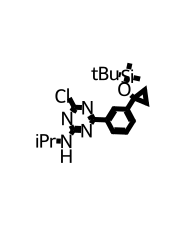 CC(C)Nc1nc(Cl)nc(-c2cccc(C3(O[Si](C)(C)C(C)(C)C)CC3)c2)n1